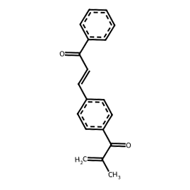 C=C(C)C(=O)c1ccc(C=CC(=O)c2ccccc2)cc1